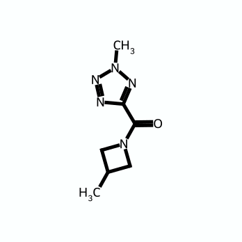 CC1CN(C(=O)c2nnn(C)n2)C1